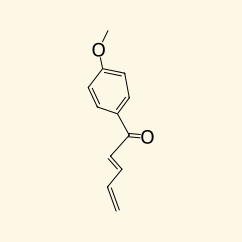 C=CC=CC(=O)c1ccc(OC)cc1